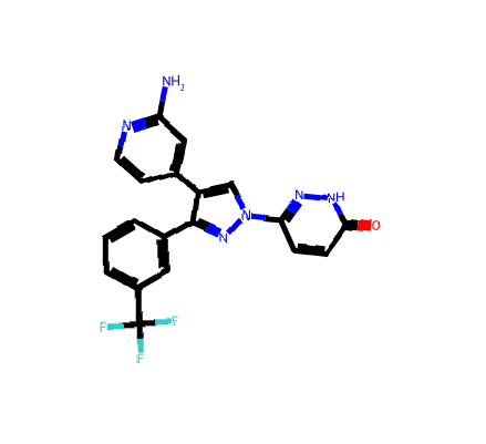 Nc1cc(-c2cn(-c3ccc(=O)[nH]n3)nc2-c2cccc(C(F)(F)F)c2)ccn1